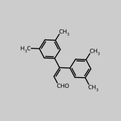 Cc1cc(C)cc(C(=CC=O)c2cc(C)cc(C)c2)c1